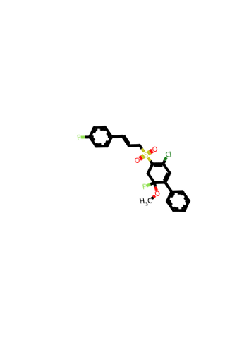 COC1(F)CC(S(=O)(=O)CC=Cc2ccc(F)cc2)=C(Cl)C=C1c1ccccc1